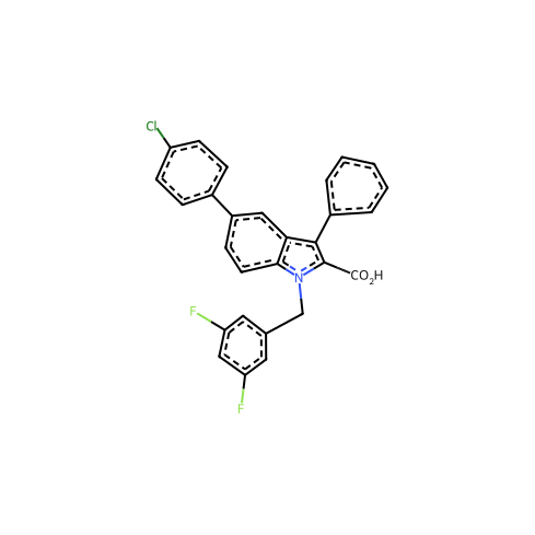 O=C(O)c1c(-c2ccccc2)c2cc(-c3ccc(Cl)cc3)ccc2n1Cc1cc(F)cc(F)c1